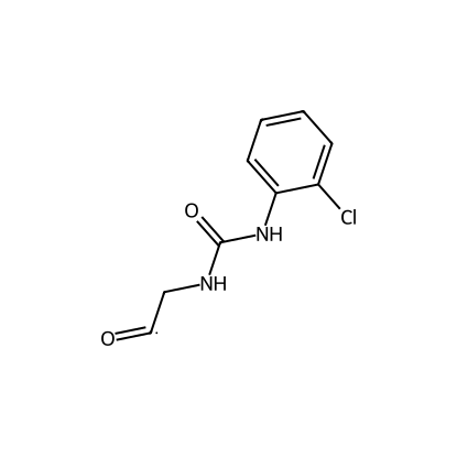 O=[C]CNC(=O)Nc1ccccc1Cl